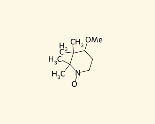 COC1CCN([O])C(C)(C)C1(C)C